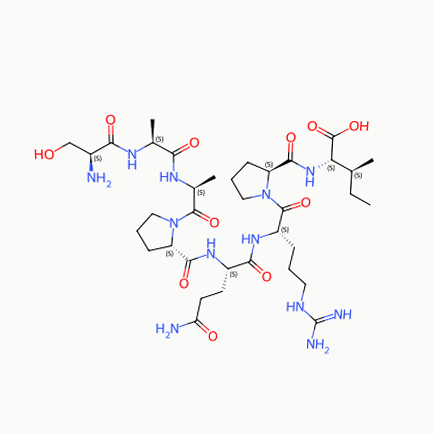 CC[C@H](C)[C@H](NC(=O)[C@@H]1CCCN1C(=O)[C@H](CCCNC(=N)N)NC(=O)[C@H](CCC(N)=O)NC(=O)[C@@H]1CCCN1C(=O)[C@H](C)NC(=O)[C@H](C)NC(=O)[C@@H](N)CO)C(=O)O